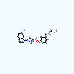 COc1ccc(F)cc1CN1CC(COc2cccc(CCC(=O)O)c2)C1